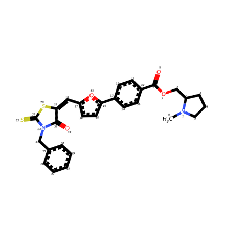 CN1CCCC1COC(=O)c1ccc(-c2ccc(/C=C3/SC(=S)N(Cc4ccccc4)C3=O)o2)cc1